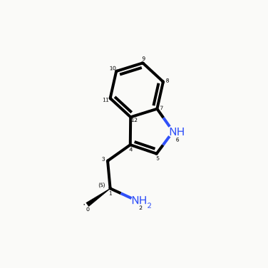 [CH2][C@H](N)Cc1c[nH]c2ccccc12